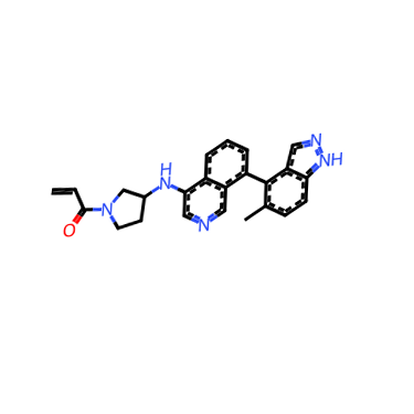 C=CC(=O)N1CCC(Nc2cncc3c(-c4c(C)ccc5[nH]ncc45)cccc23)C1